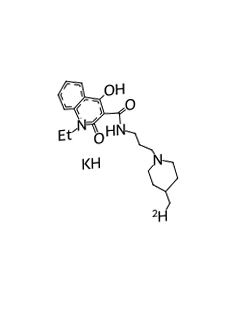 [2H]CC1CCN(CCCNC(=O)c2c(O)c3ccccc3n(CC)c2=O)CC1.[KH]